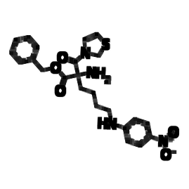 NC(CCCCNc1ccc([N+](=O)[O-])cc1)(C(=O)OCc1ccccc1)C(=O)N1C=CSC1